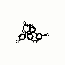 N#Cc1cc(F)cc(-c2ccc3c(c2)C(c2ccc(Cl)cc2)(c2ccc(Cl)cc2)OCC(=O)N3)c1